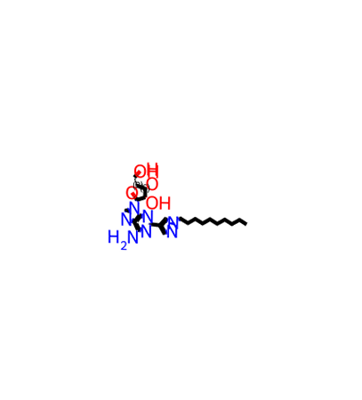 CCCCCCCCCCn1cc(-c2nc(N)c3ncn(C4O[C@H](CO)[C@@H](O)C4O)c3n2)cn1